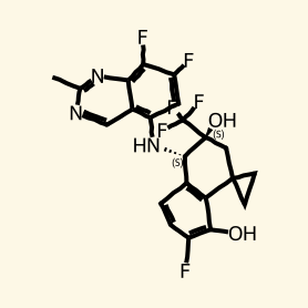 Cc1ncc2c(N[C@H]3c4ccc(F)c(O)c4C4(CC4)C[C@@]3(O)C(F)(F)F)cc(F)c(F)c2n1